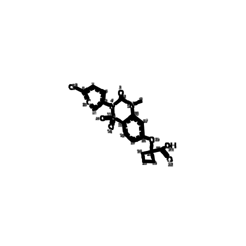 CN1C(=O)N(c2ccc(Cl)cc2)S(=O)(=O)c2ccc(OC3(C(=O)O)CCC3)cc21